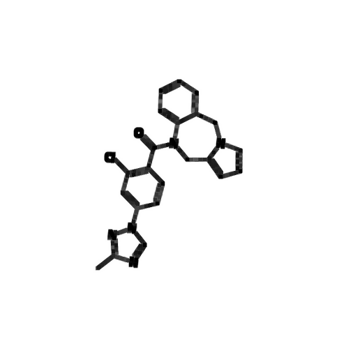 Cc1ncn(-c2ccc(C(=O)N3Cc4cccn4Cc4ccccc43)c(Cl)c2)n1